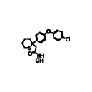 O=C(CC1(c2ccc(Oc3ccc(Cl)cc3)cc2)CCCCS1)NO